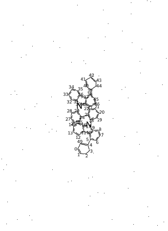 C1=CCCC(c2cccc3c2c2ccccc2n3-c2ccccc2-c2ccccc2-n2c3ccccc3c3c(C4C=CC=CC4)cccc32)=C1